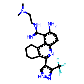 CN(C)CCNC(=N)c1c(N)ccc2nc(-c3c[nH]nc3C(F)(F)F)c3c(c12)CCCC3